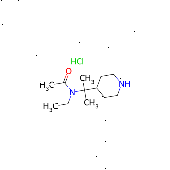 CCN(C(C)=O)C(C)(C)C1CCNCC1.Cl